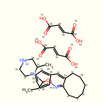 CCC(O/N=C1/CCCCCC/C1=C/c1ccccc1)N1CCNCC1C.O=C(O)/C=C/C(=O)O.O=C(O)/C=C/C(=O)O